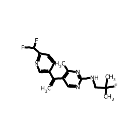 C=C(c1ccc(C(F)F)nc1)c1cnc(NCC(C)(C)F)nc1C